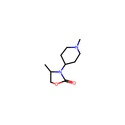 CC1COC(=O)N1C1CCN(C)CC1